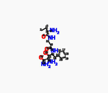 CC(C)C(N)C(=O)NCCC(=O)NC(Cc1ccccc1)C(=O)C(N)C(N)=O